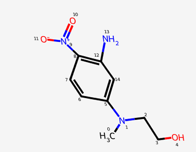 CN(CCO)c1ccc([N+](=O)[O-])c(N)c1